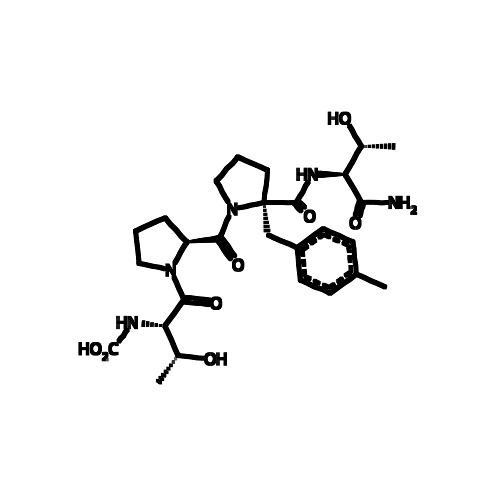 Cc1ccc(C[C@@]2(C(=O)N[C@H](C(N)=O)[C@@H](C)O)CCCN2C(=O)[C@@H]2CCCN2C(=O)[C@@H](NC(=O)O)[C@@H](C)O)cc1